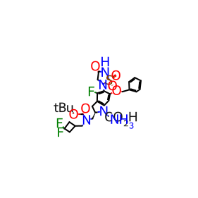 CC(C)(C)OC(=O)N(CC1CC(F)(F)C1)C[C@H]1Cc2c(cc(OCc3ccccc3)c(N3CC(=O)NS3(=O)=O)c2F)N1C(=O)O.N